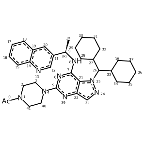 CC(=O)N1CCN(c2nc(N[C@H](C)c3cnc4ccccc4c3)c3c(cnn3C(C3CCCCC3)C3CCCCC3)n2)CC1